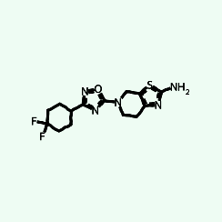 Nc1nc2c(s1)CN(c1nc(C3CCC(F)(F)CC3)no1)CC2